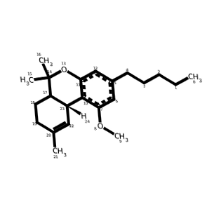 CCCCCc1cc(OC)c2c(c1)OC(C)(C)C1CCC(C)=C[C@@H]21